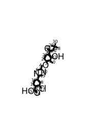 Cc1c(OCc2cnc(-c3ccc(C(=O)O)c(Cl)c3)cn2)ccc(C(=O)CC(C)(C)C)c1O